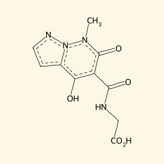 Cn1c(=O)c(C(=O)NCC(=O)O)c(O)c2ccnn21